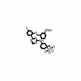 COc1cccc(COc2cc(F)ccc2-c2ncnc(Nc3cccc(CS(=O)(=O)S(C)(=O)=O)c3)n2)c1